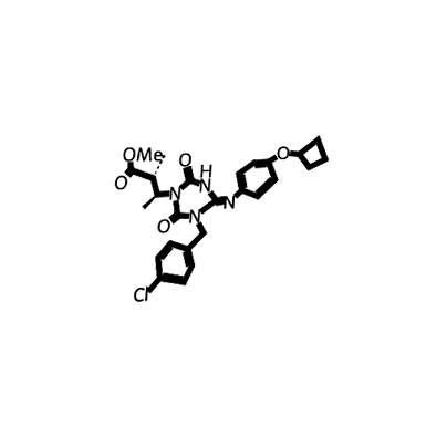 COC(=O)[C@H](C)[C@H](C)n1c(=O)[nH]/c(=N\c2ccc(OC3CCC3)cc2)n(Cc2ccc(Cl)cc2)c1=O